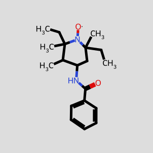 CCC1(C)CC(NC(=O)c2ccccc2)C(C)C(C)(CC)N1[O]